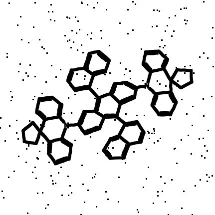 c1ccc2c(c1)N(c1ccc3c(-c4cccc5ccccc45)c4cc(N5c6ccccc6C6(CCCC6)c6ccccc65)ccc4c(-c4cccc5ccccc45)c3c1)c1ccccc1C21CCCC1